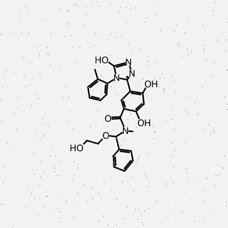 Cc1ccccc1-n1c(O)nnc1-c1cc(C(=O)N(C)C(OCCO)c2ccccc2)c(O)cc1O